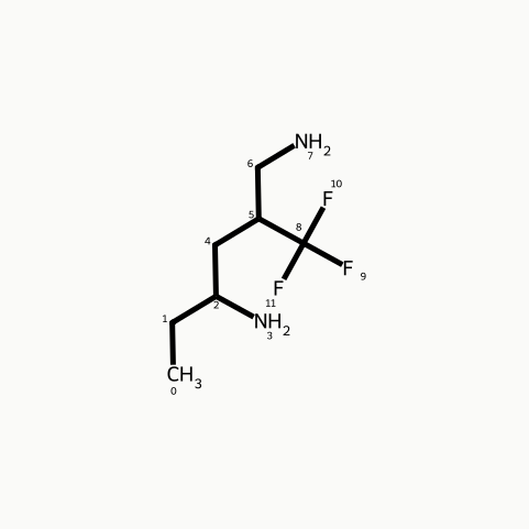 CCC(N)CC(CN)C(F)(F)F